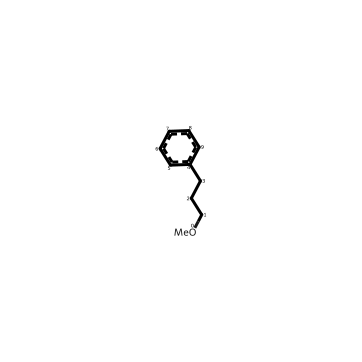 COCCCc1c[c]ccc1